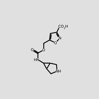 O=C(NC1C2CNCC21)OCc1cc(C(=O)O)no1